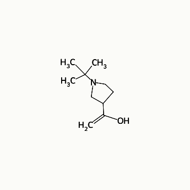 C=C(O)C1CCN(C(C)(C)C)C1